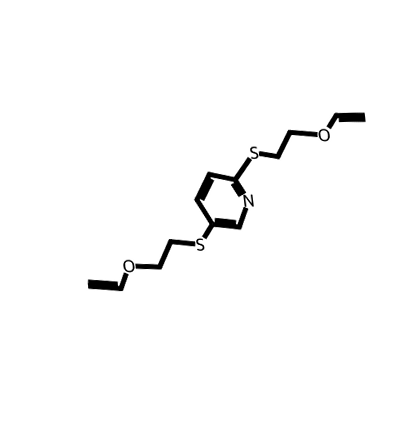 C=COCCSc1ccc(SCCOC=C)nc1